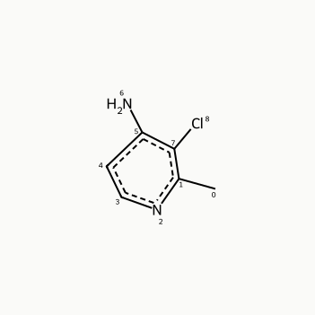 Cc1nccc(N)c1Cl